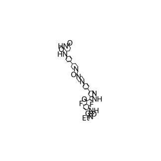 CCN(C)S(=O)(=O)Nc1ccc(F)c(C(=O)c2c[nH]c3ncc(-c4ccc(N5CCN(C(=O)CN6CCC(c7ccc(NC8CCC(=O)NC8=O)cc7)CC6)CC5)cc4)cc23)c1F